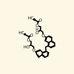 C#CC(=O)OCC(O)COc1ccc2cccc(Cc3cccc4ccc(OCC(O)COC(=O)C#C)cc34)c2c1